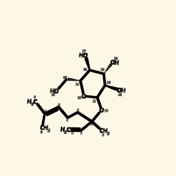 C=CC(C)(CCC=C(C)C)OC1O[C@H](CO)[C@@H](O)[C@H](O)[C@H]1O